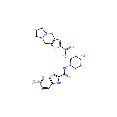 Cl.O=C(N[C@H]1CCCC[C@H]1NC(=O)c1nc2c(s1)CN1CCCN1C2)c1cc2cc(Cl)ccc2[nH]1